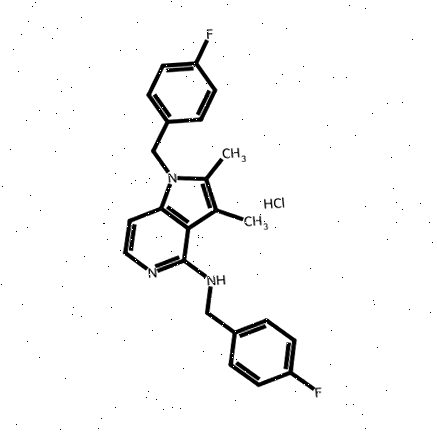 Cc1c(C)n(Cc2ccc(F)cc2)c2ccnc(NCc3ccc(F)cc3)c12.Cl